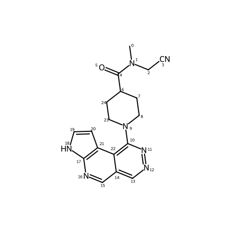 CN(CC#N)C(=O)C1CCN(c2nncc3cnc4[nH]ccc4c23)CC1